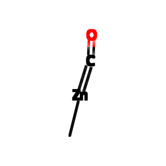 [CH3][Zn]=[C]=O